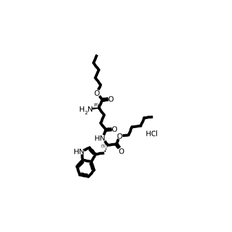 CCCCCOC(=O)[C@H](N)CCC(=O)N[C@@H](Cc1c[nH]c2ccccc12)C(=O)OCCCCC.Cl